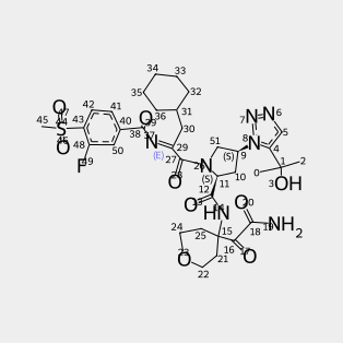 CC(C)(O)c1cnnn1[C@H]1C[C@@H](C(=O)NC2(C(=O)C(N)=O)CCOCC2)N(C(=O)/C(CC2CCCCC2)=N/C(=O)c2ccc(S(C)(=O)=O)c(F)c2)C1